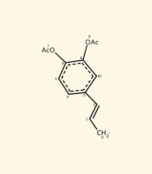 [CH2]C=Cc1ccc(OC(C)=O)c(OC(C)=O)c1